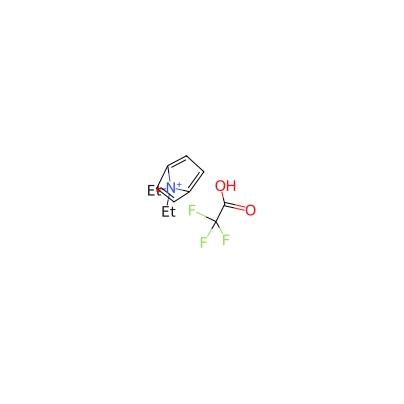 CC[N+]1(CC)C2=CC=C1C=C2.O=C(O)C(F)(F)F